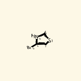 BrC1=CS[CH]N1